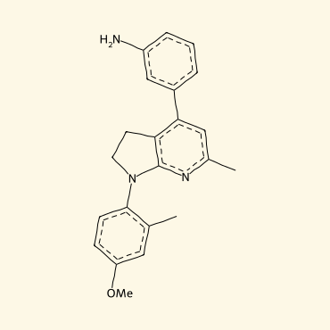 COc1ccc(N2CCc3c(-c4cccc(N)c4)cc(C)nc32)c(C)c1